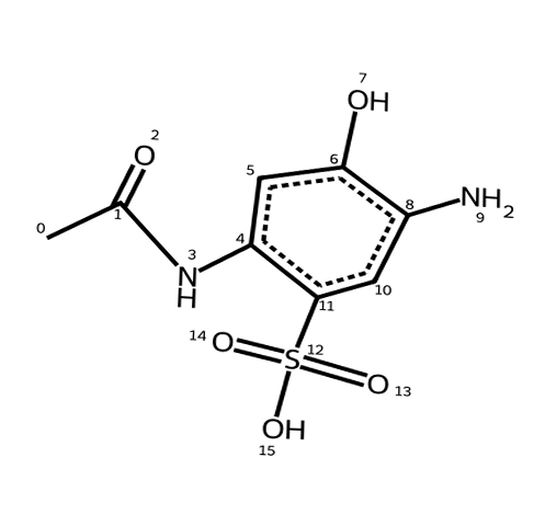 CC(=O)Nc1cc(O)c(N)cc1S(=O)(=O)O